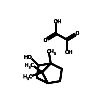 CC1(C)C2CCC1(C)C(O)C2.O=C(O)C(=O)O